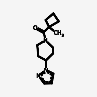 CC1(C(=O)N2CCC(n3cccn3)CC2)CCC1